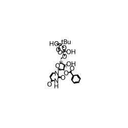 CC(C)(C)P(=O)(O)OP(=O)(O)OC[C@H]1O[C@@H](n2ccc(=O)[nH]c2=O)C(OC(=O)c2ccccc2)[C@H]1O